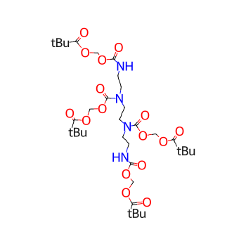 CC(C)(C)C(=O)OCOC(=O)NCCN(CCN(CCNC(=O)OCOC(=O)C(C)(C)C)C(=O)OCOC(=O)C(C)(C)C)C(=O)OCOC(=O)C(C)(C)C